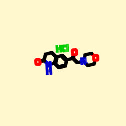 Cl.O=C1CCc2cc(C(=O)CN3CCOCC3)ccc2N1